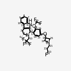 C[C@@H]1Cc2c([nH]c3ccccc23)[C@@H](c2ccc(OC3CN(CCCF)C3)cc2OC(F)F)N1CC(F)(F)F